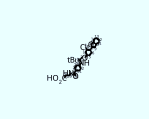 CC(C)(C)C(COc1ccc(-c2cc3ccccc3o2)c(Cl)c1)Nc1ccc(C(=O)NCCC(=O)O)cc1